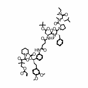 C=CC(=O)OCC(C)(C)C(=O)C(=O)N1CCCC[C@H]1C(=O)O[C@H](CCc1ccc(OC)c(OC)c1)c1cccc(NC(=O)CCC(=O)N[C@@H](CC(=O)OC(C)(C)C)C(=O)N(C)[C@@H](Cc2ccccc2)C(=O)N2CCC[C@@H]2C(=O)N(C)[C@@H](CC(C)C)C(=O)N(C)CC)c1